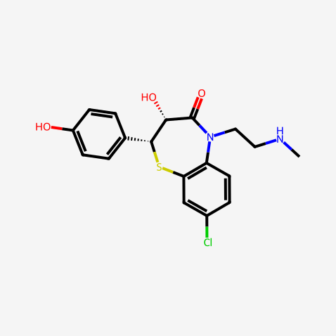 CNCCN1C(=O)[C@@H](O)[C@@H](c2ccc(O)cc2)Sc2cc(Cl)ccc21